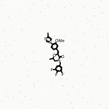 COc1cc(C=C2OC(C)CN(Cc3cc(F)c(F)c(F)c3)C2=O)ccc1-n1cnc(C)c1